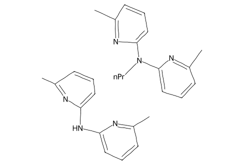 CCCN(c1cccc(C)n1)c1cccc(C)n1.Cc1cccc(Nc2cccc(C)n2)n1